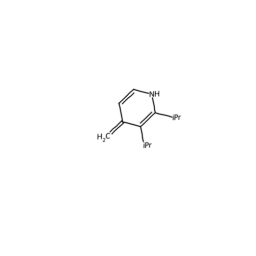 C=C1C=CNC(C(C)C)=C1C(C)C